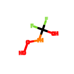 OOPC(O)(F)F